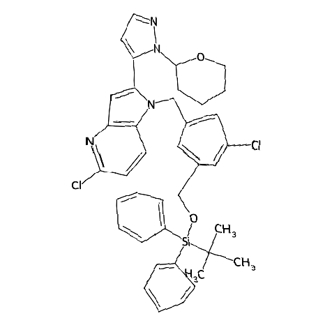 CC(C)(C)[Si](OCc1cc(Cl)cc(Cn2c(-c3ccnn3C3CCCCO3)cc3nc(Cl)ccc32)c1)(c1ccccc1)c1ccccc1